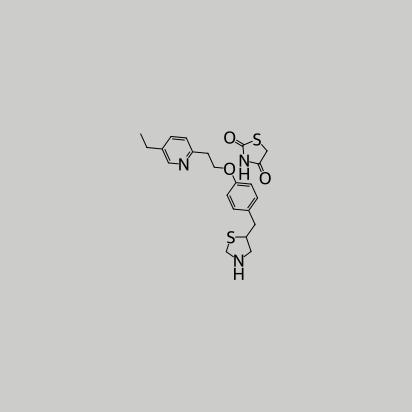 CCc1ccc(CCOc2ccc(CC3CNCS3)cc2)nc1.O=C1CSC(=O)N1